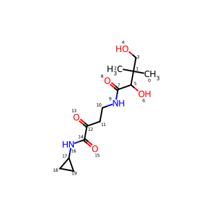 CC(C)(CO)C(O)C(=O)NCCC(=O)C(=O)NC1CC1